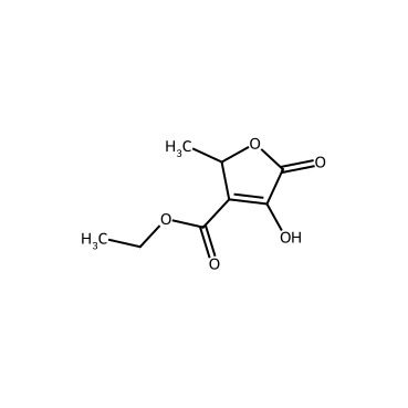 CCOC(=O)C1=C(O)C(=O)OC1C